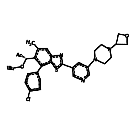 CC(=O)[C@@H](OC(C)(C)C)c1c(C)cc2nc(-c3cncc(N4CCN(C5COC5)CC4)c3)sc2c1-c1ccc(Cl)cc1